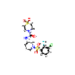 O=C(N[C@H]1CCCN(S(=O)(=O)c2cccc(Cl)c2F)C1)N1CCS(=O)(=O)CC1